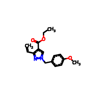 C=Cc1nn(Cc2ccc(OC)cc2)cc1C(=O)OCC